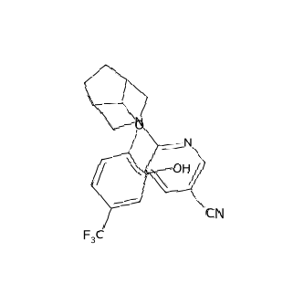 N#Cc1ccc(N2CC3CCC(C2)C3Oc2ccc(C(F)(F)F)cc2O)nc1